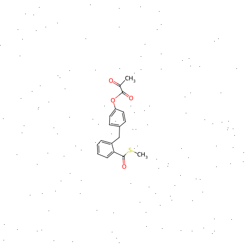 CSC(=O)c1ccccc1Cc1ccc(OC(=O)C(C)=O)cc1